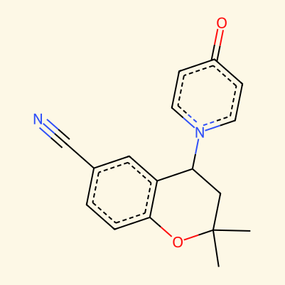 CC1(C)CC(n2ccc(=O)cc2)c2cc(C#N)ccc2O1